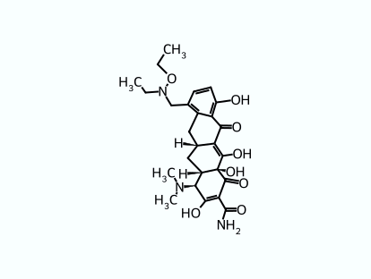 CCON(CC)Cc1ccc(O)c2c1C[C@H]1C[C@H]3[C@H](N(C)C)C(O)=C(C(N)=O)C(=O)[C@@]3(O)C(O)=C1C2=O